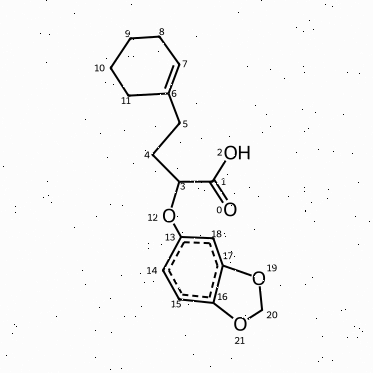 O=C(O)C(CCC1=CCCCC1)Oc1ccc2c(c1)OCO2